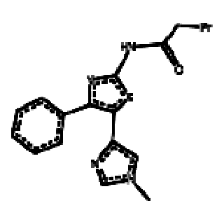 CC(C)CC(=O)Nc1nc(-c2ccccc2)c(-c2cn(C)cn2)s1